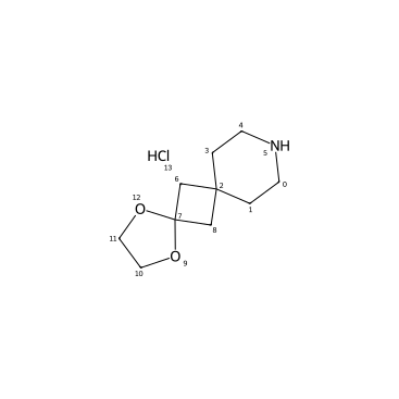 C1CC2(CCN1)CC1(C2)OCCO1.Cl